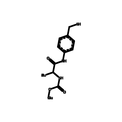 CCC(C)C(NC(=O)OC(C)(C)C)C(=O)Nc1ccc(CS)cc1